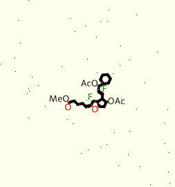 COC(=O)CCCC=C1OC2CC(OC(C)=O)C(C=CC(OC(C)=O)C3(F)CCCCC3)C2C1F